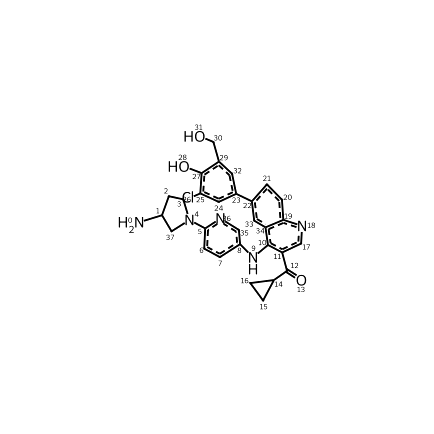 NC1CCN(c2ccc(Nc3c(C(=O)C4CC4)cnc4ccc(-c5cc(Cl)c(O)c(CO)c5)cc34)cn2)C1